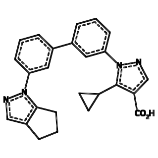 O=C(O)c1cnn(-c2cccc(-c3cccc(-n4ncc5c4CCC5)c3)c2)c1C1CC1